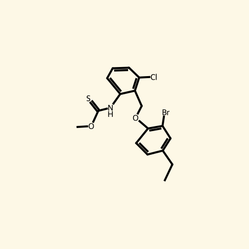 CCc1ccc(OCc2c(Cl)cccc2NC(=S)OC)c(Br)c1